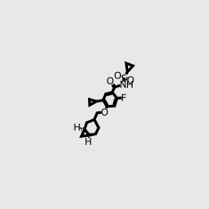 O=C(NS(=O)(=O)C1CC1)c1cc(C2CC2)c(OCC2CC[C@H]3C[C@H]3C2)cc1F